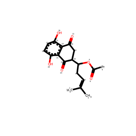 CC(C)=CCC(OC(=O)C(C)C)C1CC(=O)c2c(O)ccc(O)c2C1=O